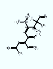 C=CC(=C\C(=C)P)/C(=C/C)/C=C(\C(=C)C(C)(C)C=O)N(C)C